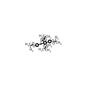 C=C(C)C(=O)Oc1ccc(C#Cc2c(OC(=O)C(=C)C)c(C)c(-c3ccc(OC(=O)C(=C)C)cc3)c(OC(=O)C(=C)C)c2C(F)(F)F)cc1